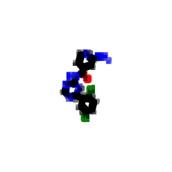 Nc1cc(C(=O)Nc2ncnc(-c3cc(Cl)ccc3Cl)n2)ccn1